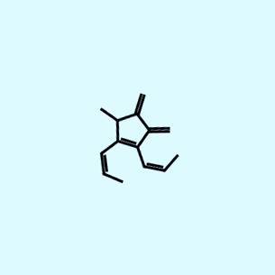 C=C1C(=C)C(C)C(/C=C\C)=C1/C=C\C